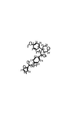 COc1ccc(C2(N(C)C(=O)c3ccc(NC(=O)c4cnco4)cc3)CCOCC2)cc1